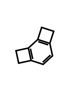 c1cc2c(c3c1CC3)CC2